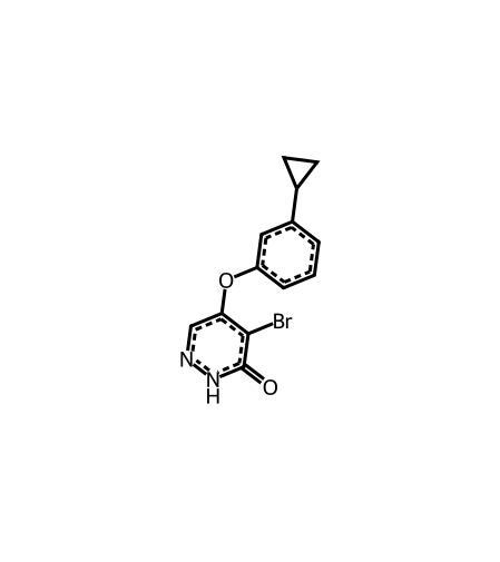 O=c1[nH]ncc(Oc2cccc(C3CC3)c2)c1Br